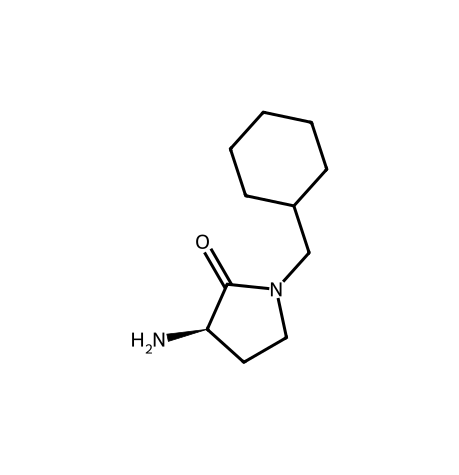 N[C@@H]1CCN(CC2CCCCC2)C1=O